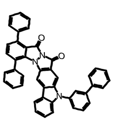 O=c1c2cc3c(cc2n2c4c(-c5ccccc5)ccc(-c5ccccc5)c4c(=O)n12)c1ccccc1n3-c1cccc(-c2ccccc2)c1